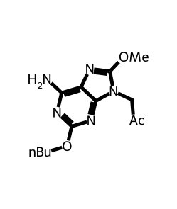 CCCCOc1nc(N)c2nc(OC)n(CC(C)=O)c2n1